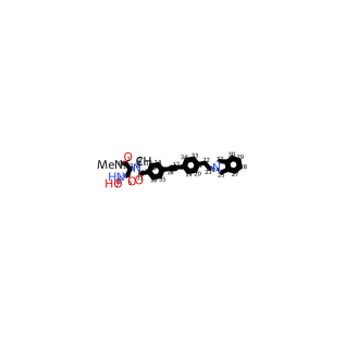 CNC(=O)C(C(=O)NO)N(C)C(=O)c1ccc(C#Cc2ccc(CCN3Cc4ccccc4C3)cc2)cc1